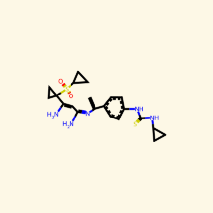 C=C(/N=C(N)\C=C(/N)C1(S(=O)(=O)C2CC2)CC1)c1ccc(NC(=S)NC2CC2)cc1